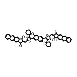 O=C1C(=Cc2nc3c(s2)C2=CC4C=C5OC6(CCCCC6)c6nc(/C=C7/C(=O)c8cc9cc%10ccccc%10cc9cc8C7O)sc6C5=CC4C=C2OC32CCCCC2)C(=O)c2cc3cc4ccccc4cc3cc21